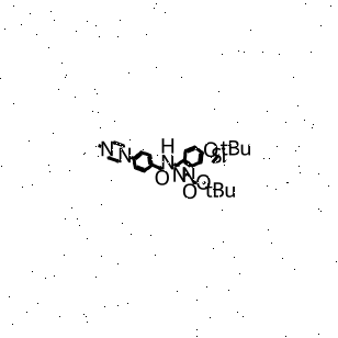 CN1CCN(c2ccc(C(=O)Nc3nn(C(=O)OC(C)(C)C)c4cc(O[Si](C)(C)C(C)(C)C)ccc34)cc2)CC1